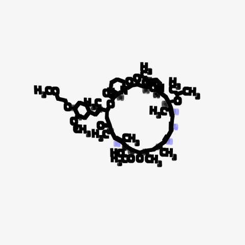 COCCO[C@@H]1CCC(C[C@@H](C)C2CC(=O)[C@H](C)/C=C(\C)[C@@H](O)[C@@H](OC)C(=O)[C@H](C)C[C@H](C)/C=C/C=C/C=C(\C)[C@H](OC(C)C)C[C@@H]3CC[C@@H](C)[C@@](O)(O3)C(=O)C(=O)N3CCCC[C@H]3C(=O)O2)C[C@H]1OC